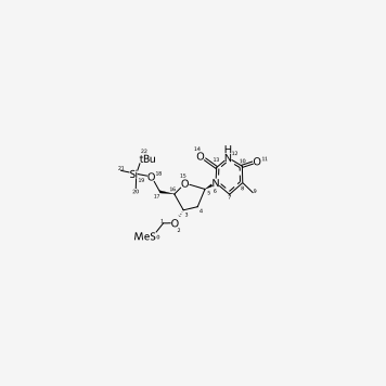 CSCO[C@H]1C[C@H](n2cc(C)c(=O)[nH]c2=O)O[C@@H]1CO[Si](C)(C)C(C)(C)C